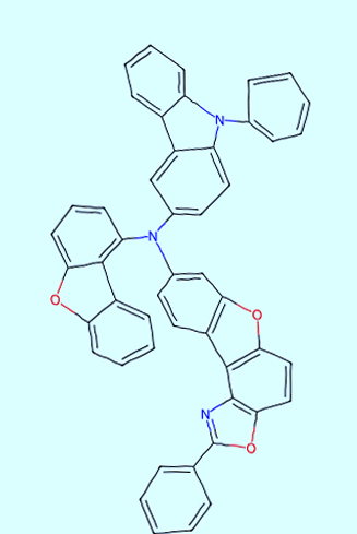 c1ccc(-c2nc3c(ccc4oc5cc(N(c6ccc7c(c6)c6ccccc6n7-c6ccccc6)c6cccc7oc8ccccc8c67)ccc5c43)o2)cc1